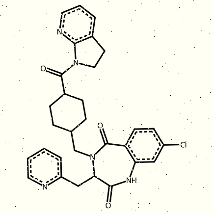 O=C1Nc2cc(Cl)ccc2C(=O)N(CC2CCC(C(=O)N3CCc4cccnc43)CC2)C1Cc1ccccn1